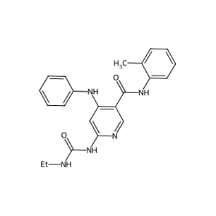 CCNC(=O)Nc1cc(Nc2ccccc2)c(C(=O)Nc2ccccc2C)cn1